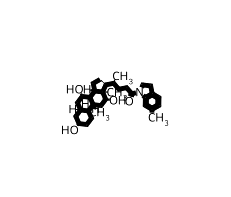 Cc1ccc2c(c1)N(C(=O)CC[C@@H](C)[C@H]1CC[C@H]3[C@@H]4[C@H](O)C[C@@H]5C[C@H](O)CC[C@]5(C)[C@H]4C[C@H](O)[C@]13C)CC2